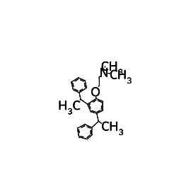 CC(c1ccccc1)c1ccc(OCCN(C)C)c(C(C)c2ccccc2)c1